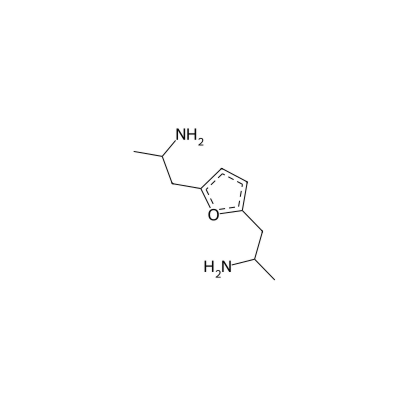 CC(N)Cc1ccc(CC(C)N)o1